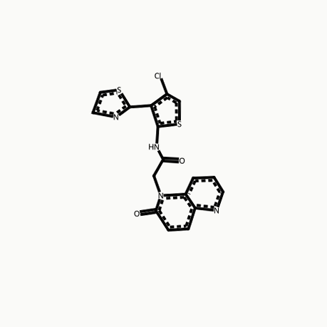 O=C(Cn1c(=O)ccc2ncccc21)Nc1scc(Cl)c1-c1nccs1